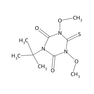 COn1c(=S)n(OC)c(=O)n(C(C)(C)C)c1=O